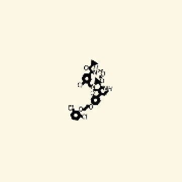 COCOC[C@H]1NCCC(c2ccc(OCCOc3c(Cl)cccc3Cl)cc2)=C1C(=O)N(Cc1cc(C(N)C(=O)C2CC2)ccc1Cl)C1CC1